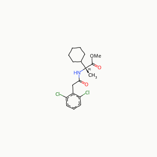 COC(=O)[C@](C)(NC(=O)Cc1c(Cl)cccc1Cl)C1CCCCC1